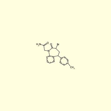 Cc1ccc(C2CC(Br)C(=O)N(CC(N)=O)c3ccccc32)cc1